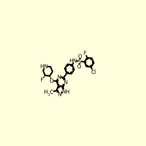 Cc1n[nH]c2nc(-c3ccc(NS(=O)(=O)c4cc(Cl)ccc4F)cc3)nc(O[C@@H]3CCNC[C@@H]3F)c12